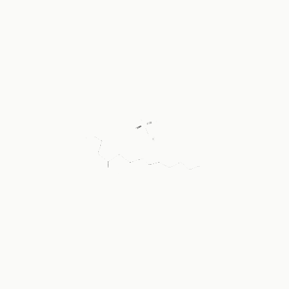 CCCC(C)CCCCCCCCO.O=S(=O)(O)O